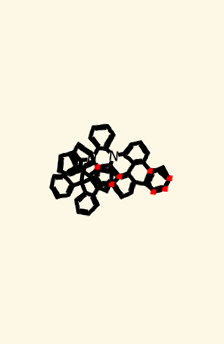 c1ccc(-c2ccccc2-c2c(-c3ccccc3)cccc2N(c2ccc3c(c2)C2(c4ccccc4-c4ccccc42)c2ccccc2-3)c2ccccc2-n2c3ccccc3c3ccccc32)cc1